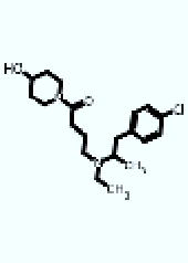 CCN(CCCC(=O)N1CCC(O)CC1)C(C)Cc1ccc(Cl)cc1